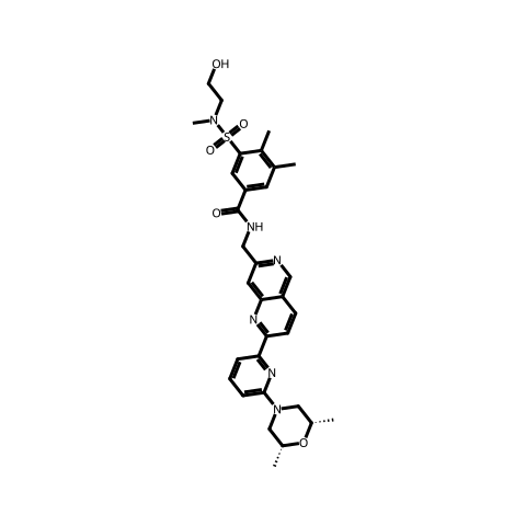 Cc1cc(C(=O)NCc2cc3nc(-c4cccc(N5C[C@@H](C)O[C@@H](C)C5)n4)ccc3cn2)cc(S(=O)(=O)N(C)CCO)c1C